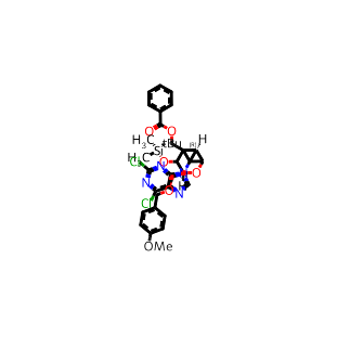 COc1ccc(COC[C@H]2OC3[C@@H]4C(COC(=O)c5ccccc5)(C2O[Si](C)(C)C(C)(C)C)C34n2cnc3c(Cl)nc(Cl)nc32)cc1